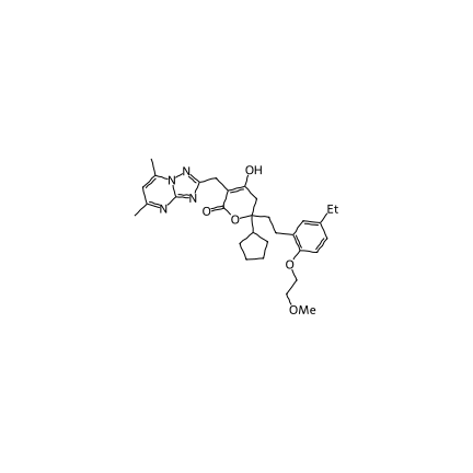 CCc1ccc(OCCOC)c(CCC2(C3CCCC3)CC(O)=C(Cc3nc4nc(C)cc(C)n4n3)C(=O)O2)c1